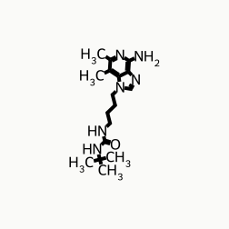 Cc1nc(N)c2ncn(CCCCNC(=O)NC(C)(C)C)c2c1C